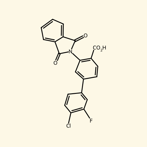 O=C(O)c1ccc(-c2ccc(Cl)c(F)c2)cc1N1C(=O)c2ccccc2C1=O